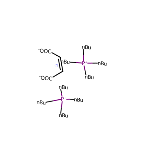 CCCC[P+](CCCC)(CCCC)CCCC.CCCC[P+](CCCC)(CCCC)CCCC.O=C([O-])/C=C\C(=O)[O-]